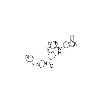 O=C([C@H]1CCc2c(sc3ncnc(Nc4ccc5[nH]ncc5c4)c23)C1)N1CCN(Cc2ccncc2)CC1